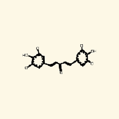 O=C(C=Cc1cc(Cl)c(O)c(Cl)c1)C=Cc1cc(Cl)c(O)c(Cl)c1